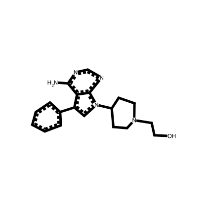 Nc1ncnc2c1c(-c1ccccc1)cn2C1CCN(CCO)CC1